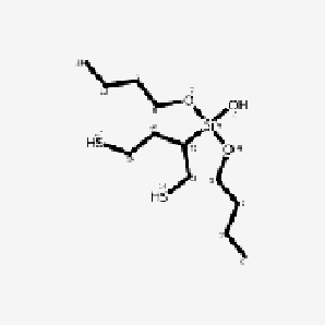 CCCCO[Si](O)(OCCCC)C(CS)CCS